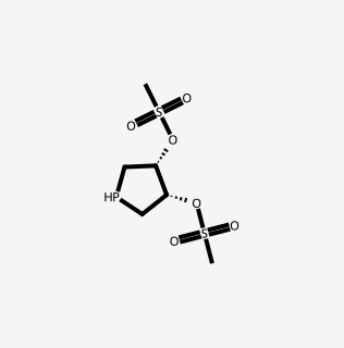 CS(=O)(=O)O[C@H]1CPC[C@H]1OS(C)(=O)=O